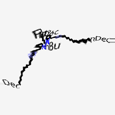 CCCCCCCCCCCCCCCCCCCCCCC/C=C/CCc1ccccc1/N=C(CCCC)\C(CCCCCCCCCCCCCCC)=N\c1ccccc1CC/C=C/CCCCCCCCCCCCCCCCCCCCCCC.[Pd+2]